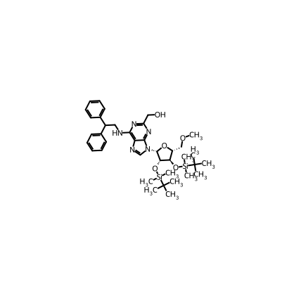 COC[C@H]1O[C@@H](n2cnc3c(NCC(c4ccccc4)c4ccccc4)nc(CO)nc32)[C@@H](O[Si](C)(C)C(C)(C)C)[C@@H]1O[Si](C)(C)C(C)(C)C